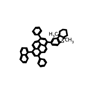 CC12CCCCC1(C)c1cc(-c3cc(-c4ccccc4)c4ccc5c(-c6cccc7ccccc67)cc(-c6ccccc6)c6ccc3c4c65)ccc1S2